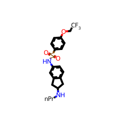 CCCNC1Cc2ccc(NS(=O)(=O)c3ccc(OCC(F)(F)F)cc3)cc2C1